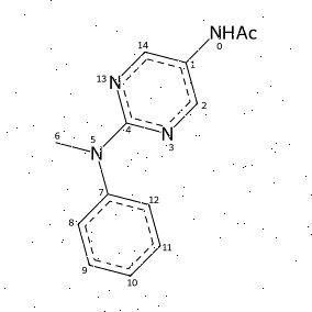 CC(=O)Nc1cnc(N(C)c2ccccc2)nc1